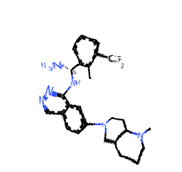 Cc1c([C@@H](N)Nc2nncc3ccc(N4CCC5C(CCCN5C)C4)cc23)cccc1C(F)(F)F